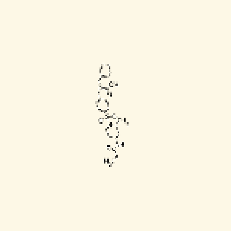 C=CC(=O)NC1CCN(S(=O)(=O)c2ccc(CN(Cc3ccccc3)C(=O)O)cc2)C(C)C1